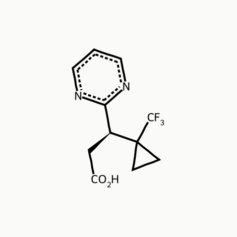 O=C(O)C[C@@H](c1ncccn1)C1(C(F)(F)F)CC1